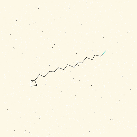 FCCCCCCCCCCCCCCC1CCC1